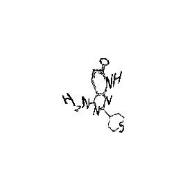 Nc1nc(C2CCSCC2)nc2[nH]c(=O)ccc12